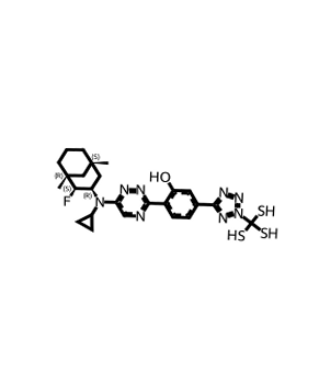 C[C@]12CCC[C@](C)(C1)[C@H](F)[C@H](N(c1cnc(-c3ccc(-c4nnn(C(S)(S)S)n4)cc3O)nn1)C1CC1)C2